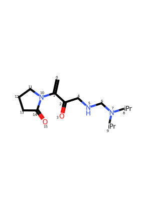 C=C(C(=O)CNCN(C(C)C)C(C)C)N1CCCC1=O